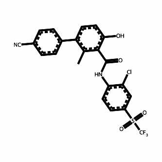 Cc1c(-c2ccc(C#N)cc2)ccc(O)c1C(=O)Nc1ccc(S(=O)(=O)C(F)(F)F)cc1Cl